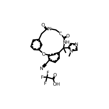 Cn1cncc1C1(C)NC(=O)CCNC(=O)Cc2cccc(c2)Oc2cc1ccc2C#N.O=C(O)C(F)(F)F